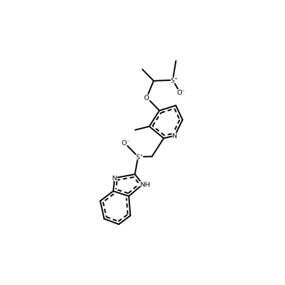 Cc1c(OC(C)[S+](C)[O-])ccnc1C[S+]([O-])c1nc2ccccc2[nH]1